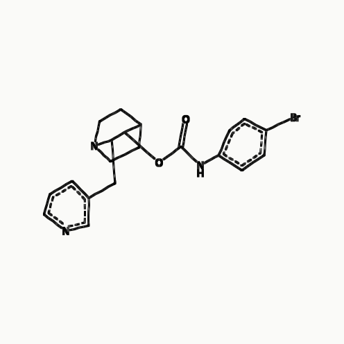 O=C(Nc1ccc(Br)cc1)OC1C2CCN(CC2)C1Cc1cccnc1